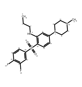 CCCNc1cc(N2CCN(C)CC2)ccc1S(=O)(=O)c1ccc(F)c(F)c1